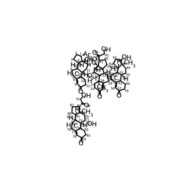 CC(=O)[C@H]1CC[C@H]2[C@@H]3CCC4=CC(=O)CC[C@]4(C)[C@H]3CC[C@]12C.C[C@]12CCC(=O)C=C1CC[C@@H]1[C@@H]2[C@@H](O)C[C@@]2(C)[C@H]1CC[C@]2(O)C(=O)CO.C[C@]12CC[C@H]3[C@@H](CCC4=CC(=O)CC[C@@]43C)[C@@H]1CC[C@@H]2O.C[C@]12C[C@H](O)[C@H]3[C@@H](CCC4=CC(=O)CC[C@@]43C)[C@@H]1CC[C@@H]2C(=O)CO